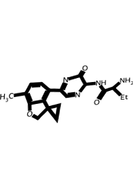 CCC(N)C(=O)NC1N=CC(c2ccc(C)c3c2C2(CC2)CO3)=NC1=O